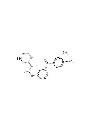 CC(Oc1cccc(C(=O)c2ccc(N)c(N)c2)c1)C(C)C1CNCCO1